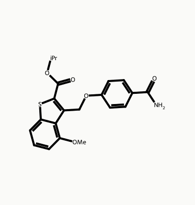 COc1cccc2sc(C(=O)OC(C)C)c(COc3ccc(C(N)=O)cc3)c12